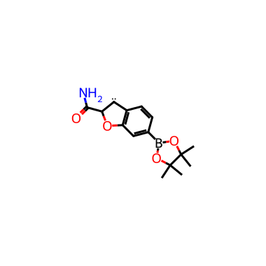 CC1(C)OB(c2ccc3c(c2)OC(C(N)=O)[C]3)OC1(C)C